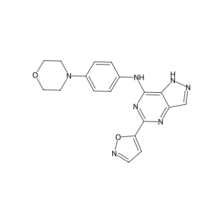 c1cc(-c2nc(Nc3ccc(N4CCOCC4)cc3)c3[nH]ncc3n2)on1